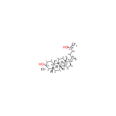 CC[C@]1(O)CC[C@@]2(C)[C@H](CC[C@@H]3[C@@H]2CC[C@]2(C)[C@@H]([C@H](C)CC[C@@H](O)C(F)(F)F)CC[C@@H]32)C1